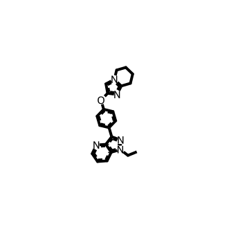 CCn1nc(-c2ccc(Oc3cn4c(n3)CCCC4)cc2)c2ncccc21